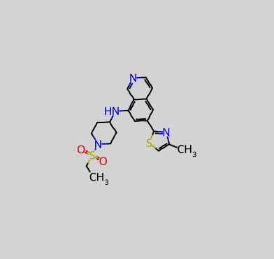 CCS(=O)(=O)N1CCC(Nc2cc(-c3nc(C)cs3)cc3ccncc23)CC1